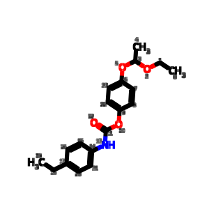 CCOC(C)Oc1ccc(OC(=O)Nc2ccc(CC)cc2)cc1